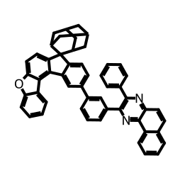 c1ccc(-c2nc3ccc4ccccc4c3nc2-c2cccc(-c3ccc4c(c3)-c3c(ccc5oc6ccccc6c35)C43C4CC5CC(C4)CC3C5)c2)cc1